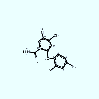 Cc1cc(F)ccc1Oc1cc(Cl)c(Cl)cc1C(N)=O